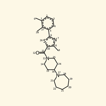 Cc1cccc(-c2nc(C)c(C(=O)N3CCC(N4CCCCCC4)CC3)s2)c1C